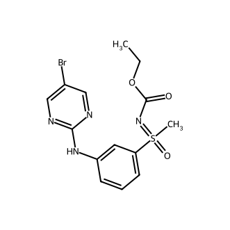 CCOC(=O)N=S(C)(=O)c1cccc(Nc2ncc(Br)cn2)c1